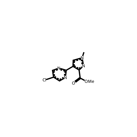 COC(=O)c1nn(C)cc1-c1ncc(Cl)cn1